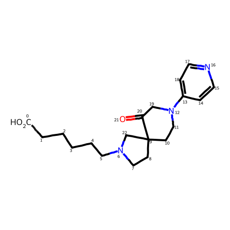 O=C(O)CCCCCN1CCC2(CCN(c3ccncc3)CC2=O)C1